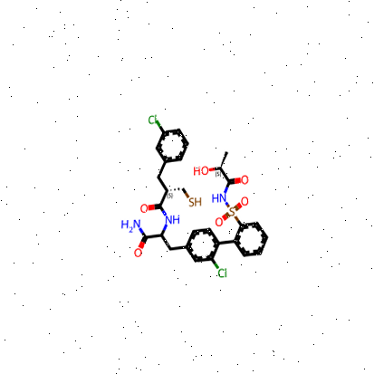 C[C@H](O)C(=O)NS(=O)(=O)c1ccccc1-c1ccc(CC(NC(=O)[C@@H](CS)Cc2cccc(Cl)c2)C(N)=O)cc1Cl